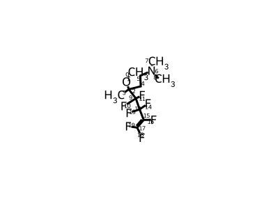 COC(C)(CCN(C)C)C(F)(F)C(F)(F)C(F)=C(F)F